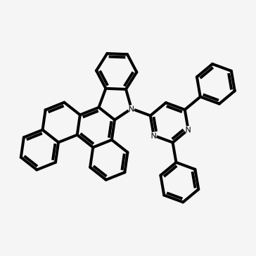 c1ccc(-c2cc(-n3c4ccccc4c4c5ccc6ccccc6c5c5ccccc5c43)nc(-c3ccccc3)n2)cc1